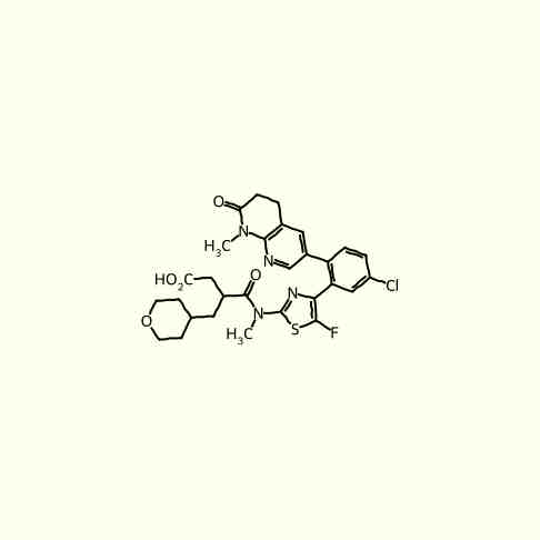 CN(C(=O)C(CC(=O)O)CC1CCOCC1)c1nc(-c2cc(Cl)ccc2-c2cnc3c(c2)CCC(=O)N3C)c(F)s1